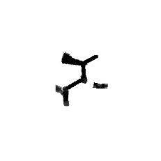 CC(C)O[PH2]=O.[NaH]